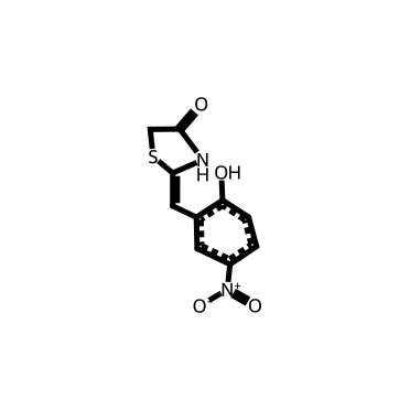 O=C1CSC(=Cc2cc([N+](=O)[O-])ccc2O)N1